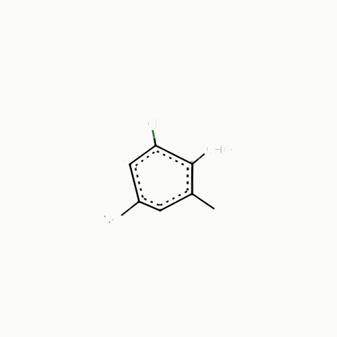 Cc1cc(C#N)cc(Cl)c1C=O